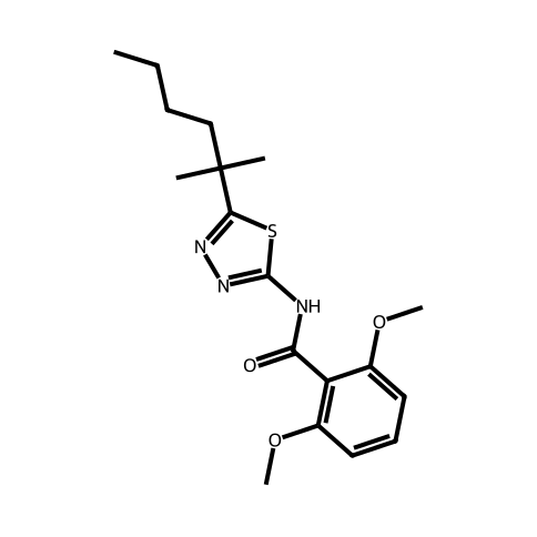 CCCCC(C)(C)c1nnc(NC(=O)c2c(OC)cccc2OC)s1